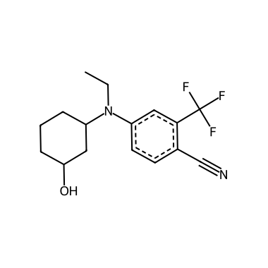 CCN(c1ccc(C#N)c(C(F)(F)F)c1)C1CCCC(O)C1